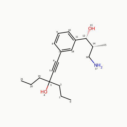 CCCC(O)(C#Cc1cccc([C@H](O)[C@H](C)CN)c1)CCC